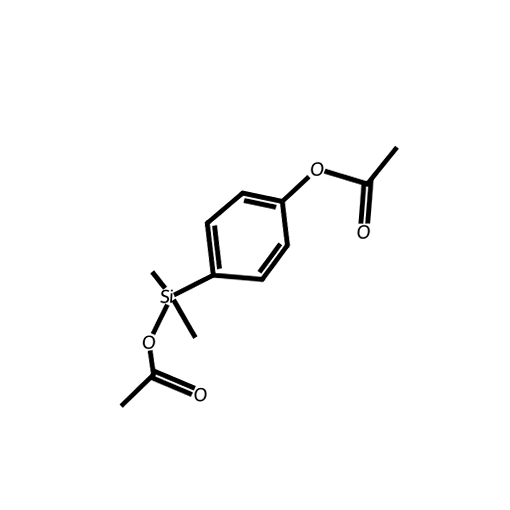 CC(=O)Oc1ccc([Si](C)(C)OC(C)=O)cc1